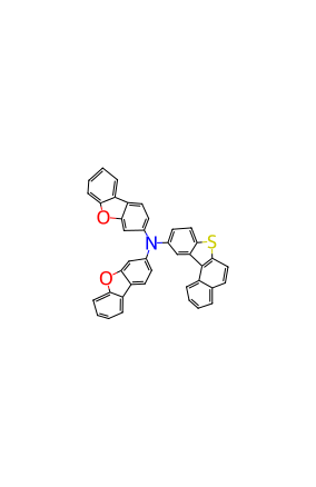 c1ccc2c(c1)ccc1sc3ccc(N(c4ccc5c(c4)oc4ccccc45)c4ccc5c(c4)oc4ccccc45)cc3c12